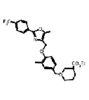 CCOC(=O)C1CCCN(Cc2ccc(OCc3nc(-c4ccc(C(F)(F)F)cc4)oc3C)c(C)c2)C1